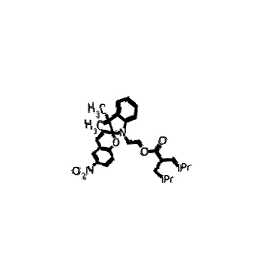 CC(C)CC(CC(C)C)C(=O)OCCN1c2ccccc2C(C)(C)C12C=Cc1cc([N+](=O)[O-])ccc1O2